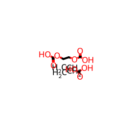 C=C.C=C.O=C(O)O.O=C(O)OCCOC(=O)O